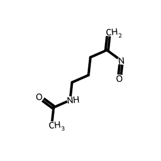 C=C(CCCNC(C)=O)N=O